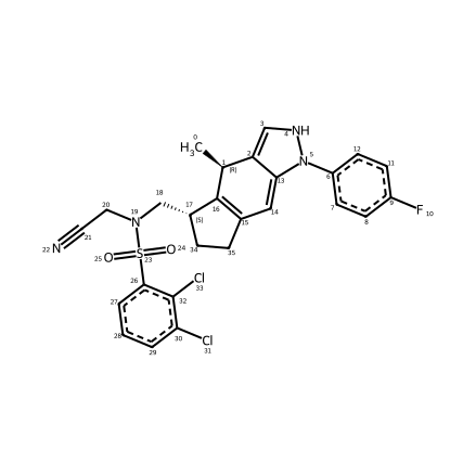 C[C@H]1C2=CNN(c3ccc(F)cc3)C2=CC2=C1[C@@H](CN(CC#N)S(=O)(=O)c1cccc(Cl)c1Cl)CC2